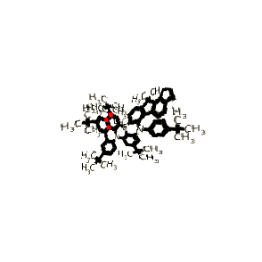 CC(C)(C)c1ccc(N2c3cc(C(C)(C)C)cc4c3B(c3cc(C(C)(C)C)ccc3N4c3ccc(C(C)(C)C)cc3-c3cc(C(C)(C)C)cc(C(C)(C)C)c3)c3ccc4c(c32)-c2ccc3c(c2C4(C)C)CCC3)cc1